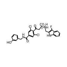 O=C(NCc1cccc(O)c1)c1cc(Cl)c(C(=O)C[C@H](NCc2[nH]c3ccccc3c2F)C(=O)O)c(Cl)c1